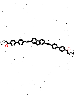 C=CC(=O)c1ccc(-c2ccc(C#Cc3ccc4c(c3)Cc3cc(C#Cc5ccc(-c6ccc(C(=O)C=C)cc6)cc5)ccc3-4)cc2)cc1